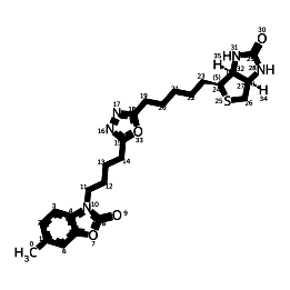 Cc1ccc2c(c1)oc(=O)n2CCCCc1nnc(CCCCC[C@@H]2SC[C@@H]3NC(=O)N[C@@H]32)o1